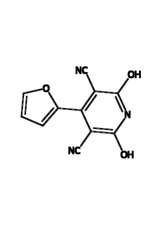 N#Cc1c(O)nc(O)c(C#N)c1-c1ccco1